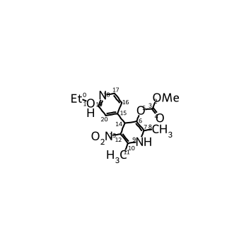 CCO.COC(=O)OC1=C(C)NC(C)=C([N+](=O)[O-])C1c1ccncc1